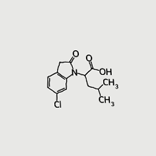 CC(C)CC(C(=O)O)N1C(=O)Cc2ccc(Cl)cc21